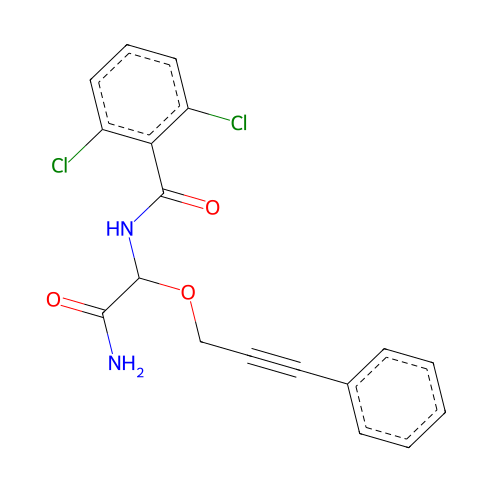 NC(=O)C(NC(=O)c1c(Cl)cccc1Cl)OCC#Cc1ccccc1